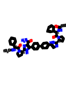 COC(=O)N[C@@H](C(=O)N1CCC[C@H]1c1ncc(-c2ccc(-c3ccc(-c4[nH]c([C@@H]5CCCN5C(=O)[C@H](NC(=O)O)c5ccccc5)nc4C(N)=O)cc3)cc2)[nH]1)c1ccccc1